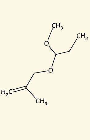 C=C(C)COC(CC)OC